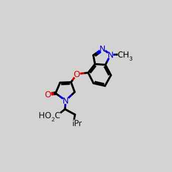 CC(C)CC(C(=O)O)N1CC(Oc2cccc3c2cnn3C)=CC1=O